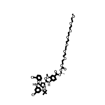 COCCOCCOCCOCCOCCOCCOCCOC(=O)O[C@H](C)OC(=O)c1ccc(NC(=O)[C@@H]2N[C@@H](CC(C)(C)C)[C@@]3(C(=O)Nc4cc(Cl)ccc43)[C@@H]2c2cccc(Cl)c2)c(OC)c1